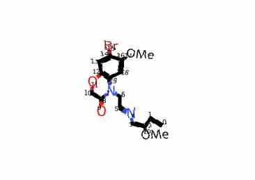 C=C/C(=C\N=C\CN1C(=O)COc2cc(Br)c(OC)cc21)OC